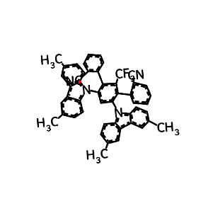 Cc1ccc2c(c1)c1cc(C)ccc1n2-c1cc(-n2c3ccc(C)cc3c3cc(C)ccc32)c(-c2ccccc2C#N)c(C(F)(F)F)c1-c1ccccc1C#N